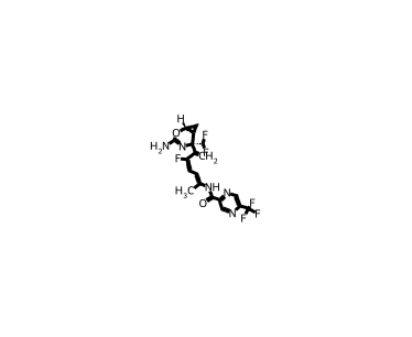 C=C(/C(F)=C\C=C(/C)NC(=O)c1cnc(C(F)(F)F)cn1)[C@@]1(C(F)F)N=C(N)O[C@@H]2CC21